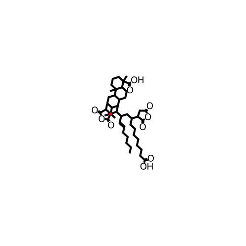 CCCCC/C=C/C(CC(CCCCCCCC(=O)O)C1CC(=O)OC1=O)C1C2C(=O)OC(=O)C2C2CC3C(CCC4C(C)(C(=O)O)CCCC34C)C1C2C(C)C